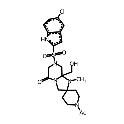 CC(=O)N1CCC2(CC1)CN1C(=O)CN(S(=O)(=O)c3cc4cc(Cl)ccc4[nH]3)CC1(CO)N2C